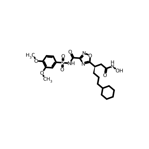 COc1ccc(S(=O)(=O)NC(=O)c2noc([C@H](CCCC3CCCCC3)CC(=O)NO)n2)cc1OC